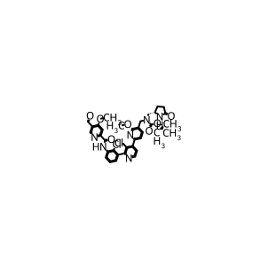 COc1cc(C(=O)Nc2cccc(-c3nccc(-c4ccc(CN(C[C@@H]5CCC(=O)N5)C(=O)OC(C)(C)C)c(OC)n4)c3Cl)c2Cl)ncc1C=O